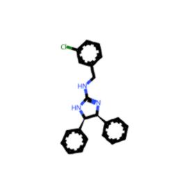 Clc1cccc(CNC2=N[C@@H](c3ccccc3)[C@@H](c3ccccc3)N2)c1